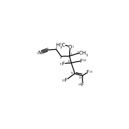 COC(C)(CCC#N)C(F)(F)C(F)=C(F)F